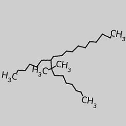 CCCCCCCCCCCC(CCCCCC)C(C)(C)CCCCCCC